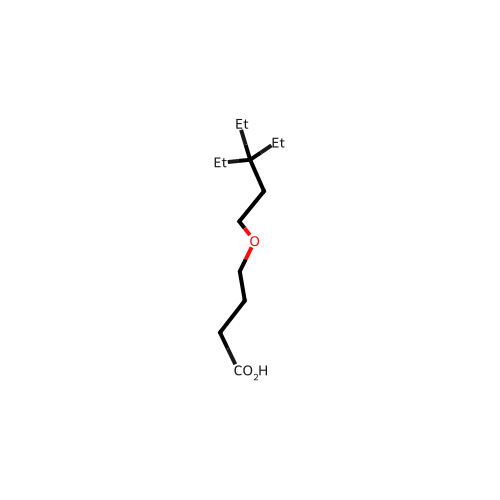 CCC(CC)(CC)CCOCCCC(=O)O